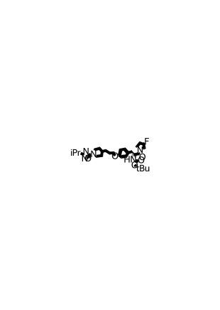 CC(C)c1noc(N2CCC(CCCOc3ccc(C[C@H](NC(=O)OC(C)(C)C)C(=O)N4CCC(F)C4)cc3)CC2)n1